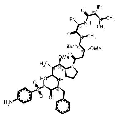 CCC(C)[C@@H]([C@@H](CC(=O)N1CCC[C@H]1[C@H](OC)[C@@H](C)C(O)N[C@@H](Cc1ccccc1)C(=O)NS(=O)(=O)c1ccc(N)cc1)OC)N(C)C(=O)[C@@H](NC(=O)[C@H](C(C)C)N(C)C)C(C)C